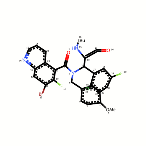 COc1ccc(CN(C(=O)c2c(F)c(Br)cc3ncccc23)C(C(=C=O)NC(C)(C)C)c2cc(F)ccc2Cl)cc1